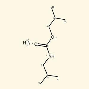 CC(C)CNC(=O)OCC(C)C.N